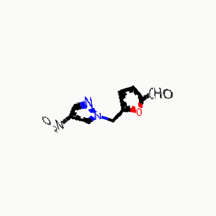 O=Cc1ccc(Cn2cc([N+](=O)[O-])cn2)o1